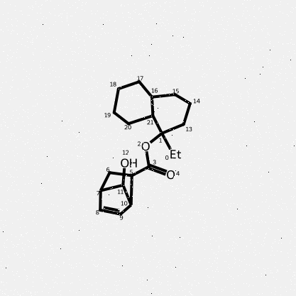 CCC1(OC(=O)C2CC3C=CC2C3O)CCCC2CCCCC21